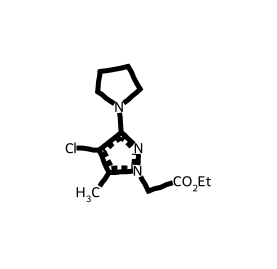 CCOC(=O)Cn1nc(N2CCCC2)c(Cl)c1C